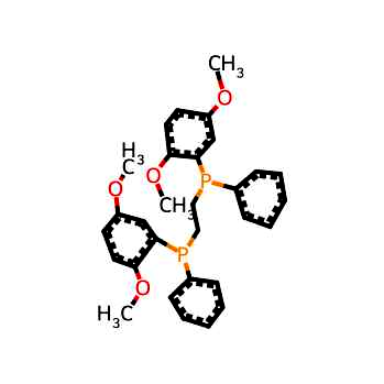 COc1ccc(OC)c(P(CCP(c2ccccc2)c2cc(OC)ccc2OC)c2ccccc2)c1